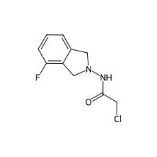 O=C(CCl)NN1Cc2cccc(F)c2C1